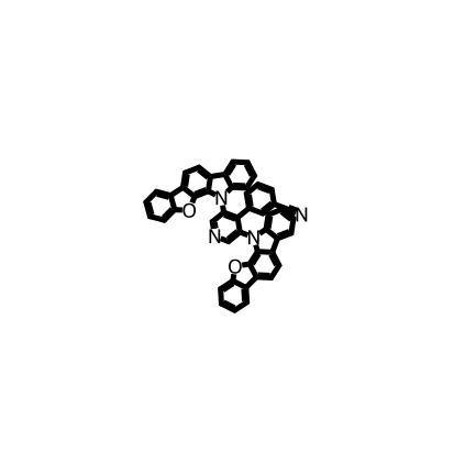 N#Cc1cccc(-c2c(-n3c4ccccc4c4ccc5c6ccccc6oc5c43)cncc2-n2c3ccccc3c3ccc4c5ccccc5oc4c32)c1